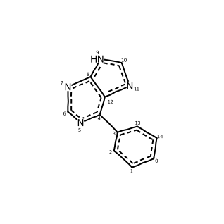 c1ccc(-c2ncnc3[nH]cnc23)cc1